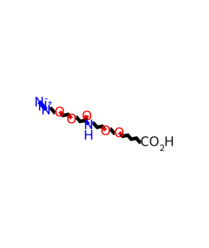 [N-]=[N+]=NCCOCCOCCC(=O)NCCCOCCOCCCCCC(=O)O